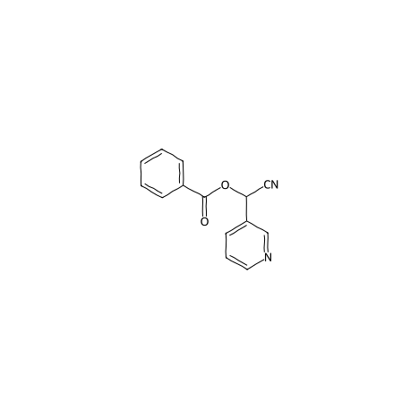 N#CC(OC(=O)c1ccccc1)c1cccnc1